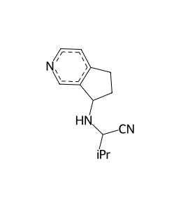 CC(C)C(C#N)NC1CCc2ccncc21